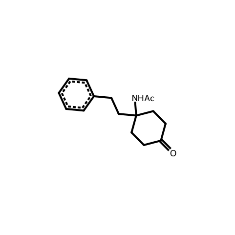 CC(=O)NC1(CCc2ccccc2)CCC(=O)CC1